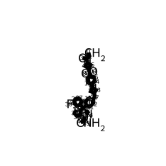 C=CC(=O)N1CC(S(=O)(=O)c2ccc(N3CC(CN4CCC([C@@](C#N)(c5cccc(F)c5)[C@H]5CCC[C@@H]5OC(N)=O)CC4)C3)cc2)C1